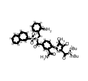 CCCCN(CCCC)C(=O)c1nn(-c2ccc(C(=O)N(Cc3ccccc3N)S(=O)(=O)c3ccc4ccccc4c3)cc2C(N)=O)c(C)c1Cl